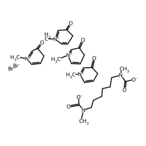 CN(CCCCCCN(C)C(=O)[O-])C(=O)[O-].C[N+]1=CC(=O)CC=C1.C[N+]1=CC(=O)CC=C1.C[N+]1=CC(=O)CC=C1.C[N+]1=CC(=O)CC=C1.[Br-].[Br-]